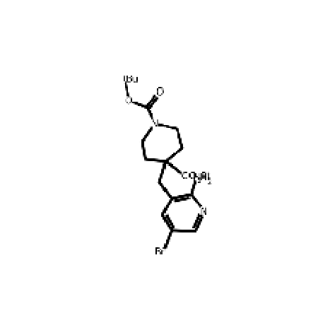 CCOC(=O)C1(Cc2cc(Br)cnc2N)CCN(C(=O)OC(C)(C)C)CC1